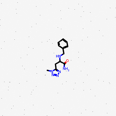 Cn1nnnc1CC(NCc1ccccc1)C(N)=O